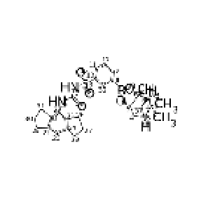 CC1(C)[C@@H]2CC3OB(c4cccc(S(=O)(=O)NC(=O)Nc5c6c(cc7c5CCC7)CCC6)c4)O[C@@]3(C)[C@@H]1C2